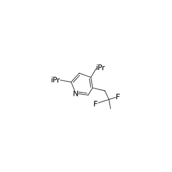 CC(C)c1cc(C(C)C)c(CC(C)(F)F)cn1